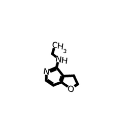 CCNc1nccc2c1CCO2